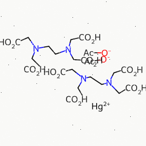 CC(=O)[O-].CC(=O)[O-].O=C(O)CN(CCN(CC(=O)O)CC(=O)O)CC(=O)O.O=C(O)CN(CCN(CC(=O)O)CC(=O)O)CC(=O)O.[Hg+2]